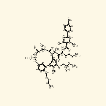 C[C@@H]1NC(=O)[C@@H](N(C)C(=O)[C@H](CCCN)NC(=O)c2c(N)nc(-c3ccc(C(C)(C)C)cc3)nc2Cl)c2cc(OC[C@H](O)CN)c(O)c(c2)-c2cc(ccc2OCCCN)C[C@@H](C(=O)O)NC1=O